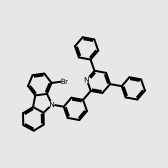 Brc1cccc2c3ccccc3n(-c3cccc(-c4cc(-c5ccccc5)cc(-c5ccccc5)n4)c3)c12